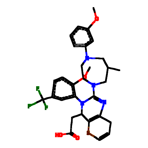 COc1cccc(N2CCN(C3=NC4=C(SC=CC4)C(CC(=O)O)N3c3cc(C(F)(F)F)ccc3OC)CC(C)C2)c1